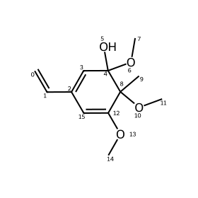 C=CC1=CC(O)(OC)C(C)(OC)C(OC)=C1